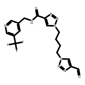 O=Cc1cn(CCCCn2cc(C(=O)NCc3cncc(C(F)(F)F)c3)nn2)nn1